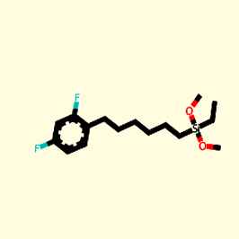 CC[Si](CCCCCCc1ccc(F)cc1F)(OC)OC